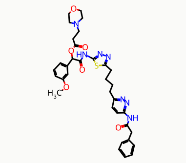 COc1cccc(C(OC(=O)CCN2CCOCC2)C(=O)Nc2nnc(CCCCc3ccc(NC(=O)Cc4ccccc4)nn3)s2)c1